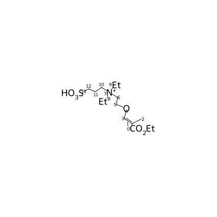 CCOC(=O)C(C)=COCC[N+](CC)(CC)CCCS(=O)(=O)O